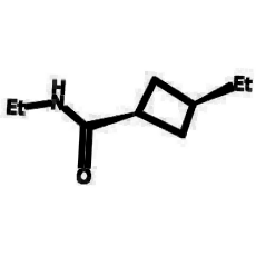 CCNC(=O)[C@H]1C[C@@H](CC)C1